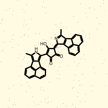 Cc1[nH]c(C2=C(O)/C(=c3\nc(C)c4c5cccc6cccc(c3=4)c65)C(=O)C2=O)c2c1-c1cccc3cccc-2c13